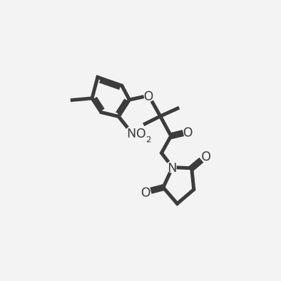 Cc1ccc(OC(C)(C)C(=O)CN2C(=O)CCC2=O)c([N+](=O)[O-])c1